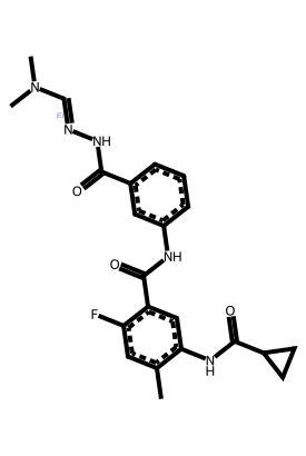 Cc1cc(F)c(C(=O)Nc2cccc(C(=O)N/N=C/N(C)C)c2)cc1NC(=O)C1CC1